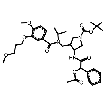 COCCCOc1cc(C(=O)N(CC2CN(C(=O)OC(C)(C)C)CC2NC(=O)C(OC(C)=O)c2ccccc2)C(C)C)ccc1OC